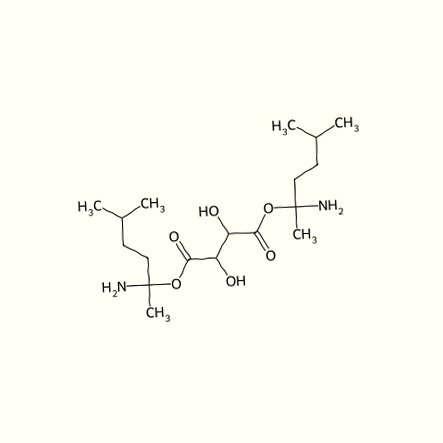 CC(C)CCC(C)(N)OC(=O)C(O)C(O)C(=O)OC(C)(N)CCC(C)C